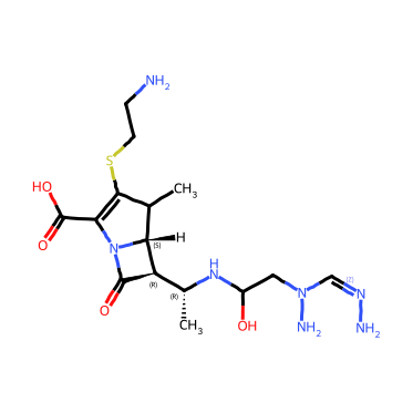 CC1C(SCCN)=C(C(=O)O)N2C(=O)[C@H]([C@@H](C)NC(O)CN(N)/C=N\N)[C@@H]12